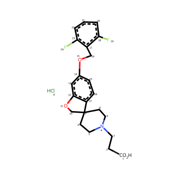 Cl.O=C(O)CCN1CCC2(CC1)COc1cc(OCc3c(F)cccc3F)ccc12